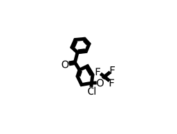 O=C(C1=CCC(Cl)(OC(F)(F)F)C=C1)c1ccccc1